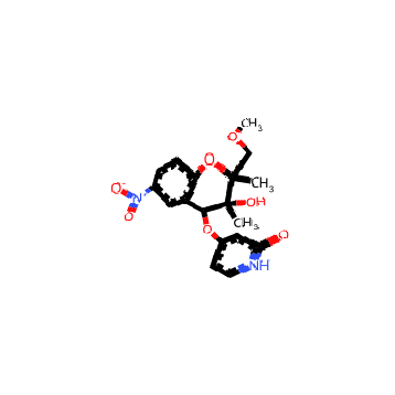 COCC1(C)Oc2ccc([N+](=O)[O-])cc2C(Oc2cc[nH]c(=O)c2)C1(C)O